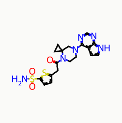 NS(=O)(=O)c1ccc(CC(=O)N2CCN(c3ncnc4[nH]ccc34)CC23CC3)s1